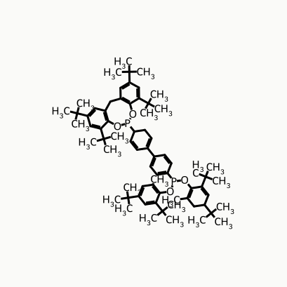 CC1=C(OP(Oc2c(C)cc(C(C)(C)C)cc2C(C)(C)C)c2ccc(C3=CCC(P4Oc5c(cc(C(C)(C)C)cc5C(C)(C)C)Cc5cc(C(C)(C)C)cc(C(C)(C)C)c5O4)C=C3)cc2)C(C(C)(C)C)=CC(C(C)(C)C)C1